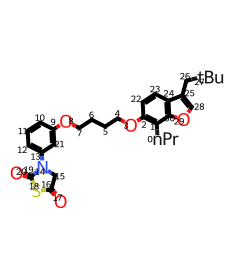 CCCc1c(OCCCCOc2cccc(N3CC(=O)SC3=O)c2)ccc2c(CC(C)(C)C)coc12